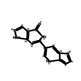 O=c1[nH]c(-c2c[nH]c3ccnc-3c2)nc2[nH]ncc12